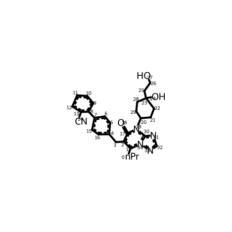 CCCc1c(Cc2ccc(-c3ccccc3C#N)cc2)c(=O)n(C2CCC(O)(CCO)CC2)c2ncnn12